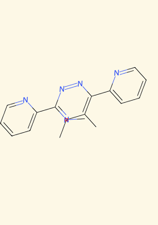 CC\C(C)=C(/N=N\C(=N/C)c1ccccn1)c1ccccn1